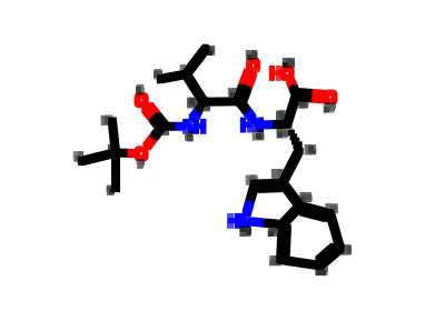 CC(C)[C@H](NC(=O)OC(C)(C)C)C(=O)N[C@@H](Cc1c[nH]c2ccccc12)C(=O)O